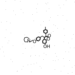 Cc1ccc(-c2c(Cc3ccc(OCCN4CCCCCC4)cc3)c3ccc(O)cc3oc2=O)cc1